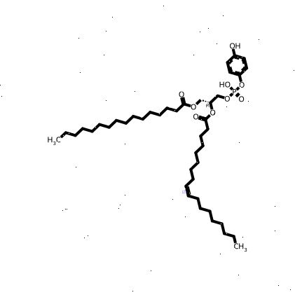 CCCCCCCC/C=C\CCCCCCCC(=O)O[C@H](COC(=O)CCCCCCCCCCCCCCC)COP(=O)(O)Oc1ccc(O)cc1